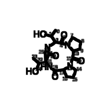 CC(O)C1C(=O)N2CCCC2C(=O)N2CCCC2C(=O)N[C@]2(C(C)O)CN1C2=O